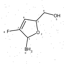 BC1OC(CO)C=C1F